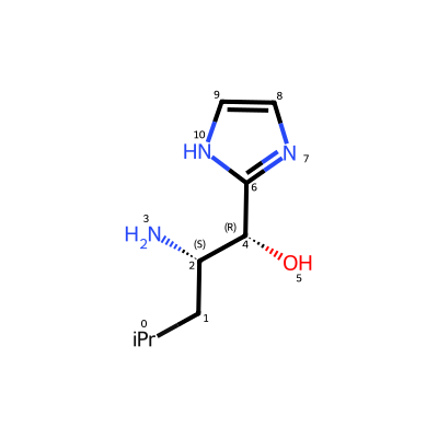 CC(C)C[C@H](N)[C@@H](O)c1ncc[nH]1